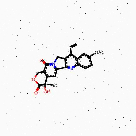 C=Cc1c2c(nc3ccc(OC(C)=O)cc13)-c1cc3c(c(=O)n1C2)COC(=O)[C@]3(O)CC